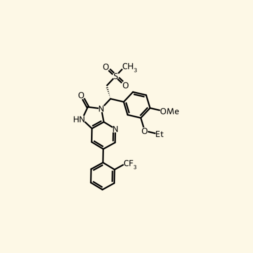 CCOc1cc([C@@H](CS(C)(=O)=O)n2c(=O)[nH]c3cc(-c4ccccc4C(F)(F)F)cnc32)ccc1OC